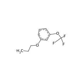 [CH2]CCOc1cccc(OC(F)(F)F)c1